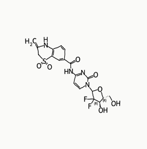 C=C1CS(=O)(=O)c2cc(C(=O)Nc3ccn(C4O[C@H](CO)[C@@H](O)C4(F)F)c(=O)n3)ccc2N1